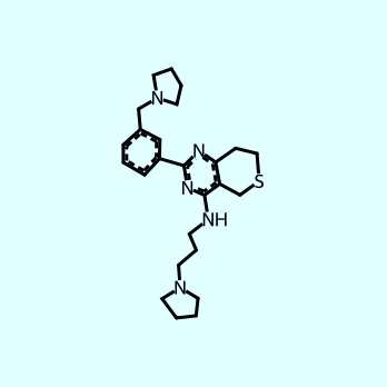 c1cc(CN2CCCC2)cc(-c2nc3c(c(NCCCN4CCCC4)n2)CSCC3)c1